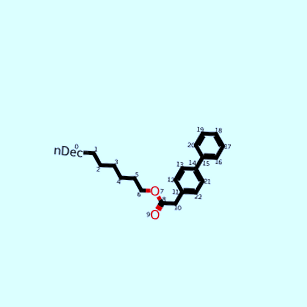 CCCCCCCCCCCCCCCCOC(=O)Cc1ccc(-c2ccccc2)cc1